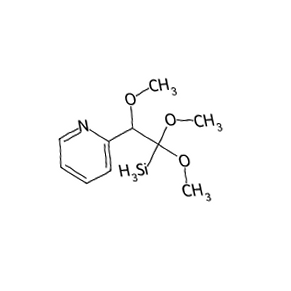 COC(c1ccccn1)C([SiH3])(OC)OC